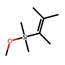 CO[Si](C)(C)C(C)=C(C)C